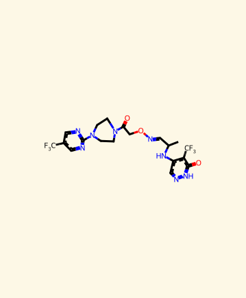 CC(/C=N/OCC(=O)N1CCN(c2ncc(C(F)(F)F)cn2)CC1)Nc1cn[nH]c(=O)c1C(F)(F)F